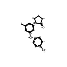 Cc1cccc(O)c1.O=C1CCCN1.Oc1ccccc1